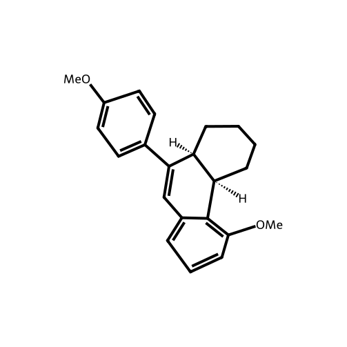 COc1ccc(C2=Cc3cccc(OC)c3[C@@H]3CCCC[C@H]23)cc1